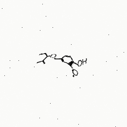 CCC(OCc1ccc(O)c(OC)c1)C(C)C